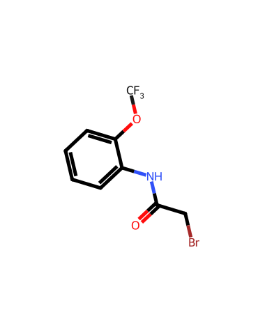 O=C(CBr)Nc1ccccc1OC(F)(F)F